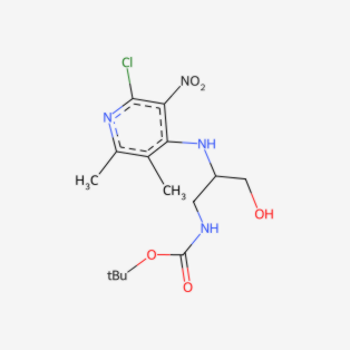 Cc1nc(Cl)c([N+](=O)[O-])c(NC(CO)CNC(=O)OC(C)(C)C)c1C